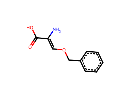 NC(=COCc1ccccc1)C(=O)O